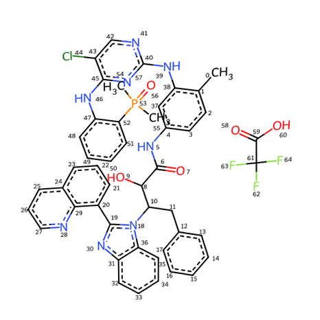 Cc1ccc(NC(=O)C(O)C(Cc2ccccc2)n2c(-c3cccc4cccnc34)nc3ccccc32)cc1Nc1ncc(Cl)c(Nc2ccccc2P(C)(C)=O)n1.O=C(O)C(F)(F)F